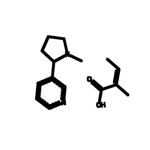 C/C=C(/C)C(=O)O.CN1CCCC1c1cccnc1